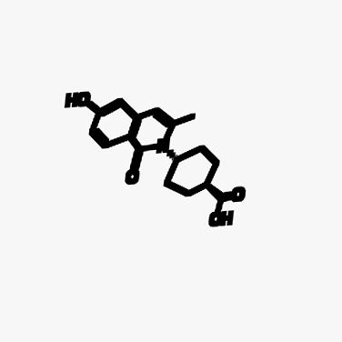 Cc1cc2cc(O)ccc2c(=O)n1[C@H]1CC[C@H](C(=O)O)CC1